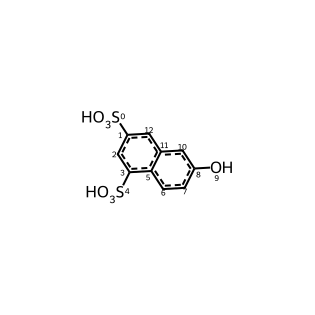 O=S(=O)(O)c1cc(S(=O)(=O)O)c2ccc(O)cc2c1